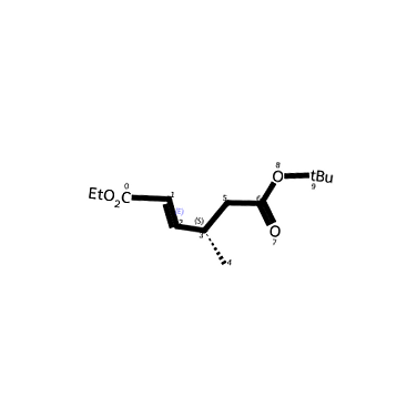 CCOC(=O)/C=C/[C@@H](C)CC(=O)OC(C)(C)C